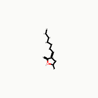 C=C1OC(C)C/C1=C/CCCCCC